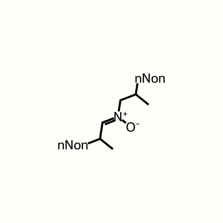 CCCCCCCCCC(C)C=[N+]([O-])CC(C)CCCCCCCCC